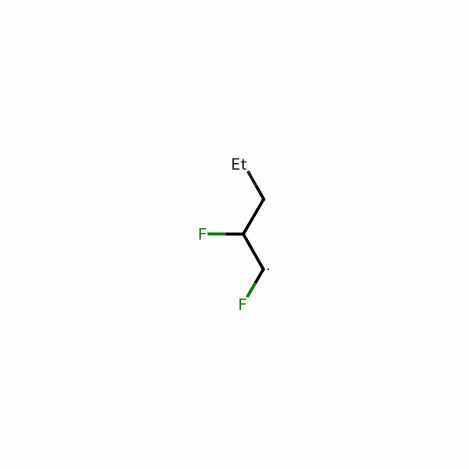 CCCC(F)[CH]F